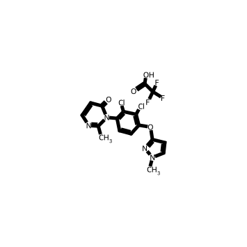 Cc1nccc(=O)n1-c1ccc(Oc2ccn(C)n2)c(Cl)c1Cl.O=C(O)C(F)(F)F